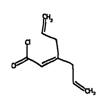 C=CCC(=CC(=O)Cl)CC=C